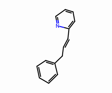 C(=Cc1ccccn1)Cc1ccccc1